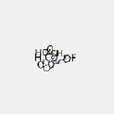 CC(C)(Oc1cc2c(cc1/C=C/c1ccc(F)cc1)CCC2=O)C(=O)O